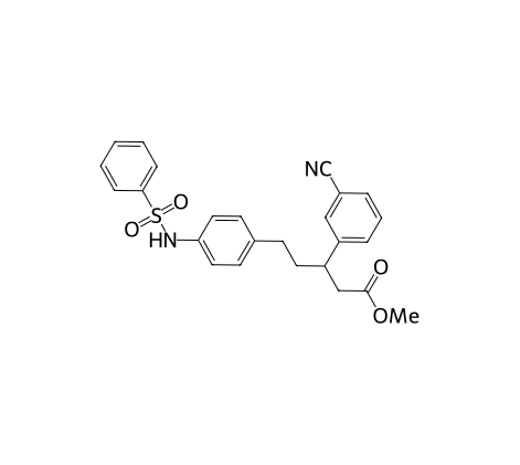 COC(=O)CC(CCc1ccc(NS(=O)(=O)c2ccccc2)cc1)c1cccc(C#N)c1